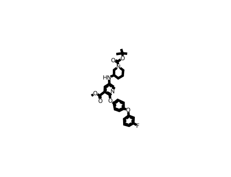 COC(=O)c1cc(NC2CCCN(C(=O)OC(C)(C)C)C2)cnc1Oc1ccc(Oc2cccc(F)c2)cc1